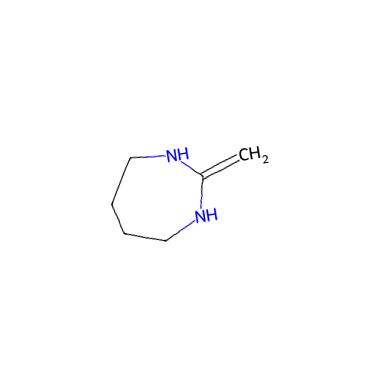 C=C1NCCCCN1